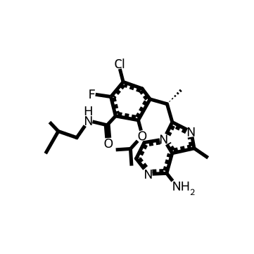 Cc1nc([C@@H](C)c2cc(Cl)c(F)c(C(=O)NCC(C)C)c2OC(C)C)n2ccnc(N)c12